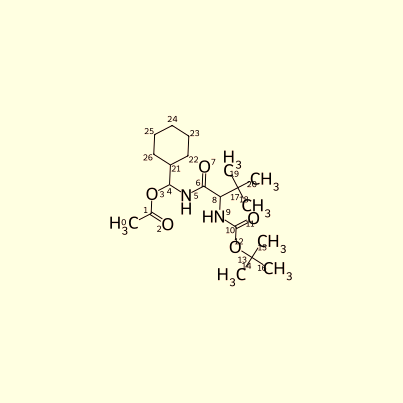 CC(=O)OC(NC(=O)C(NC(=O)OC(C)(C)C)C(C)(C)C)C1CCCCC1